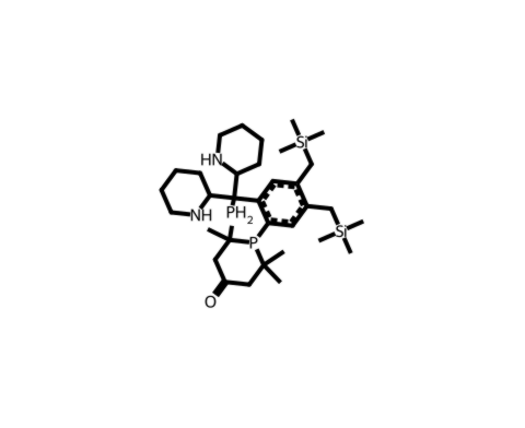 CC1(C)CC(=O)CC(C)(C)P1c1cc(C[Si](C)(C)C)c(C[Si](C)(C)C)cc1C(P)(C1CCCCN1)C1CCCCN1